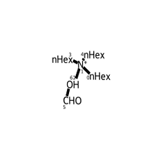 CCCCCC[N+](C)(CCCCCC)CCCCCC.O=CO